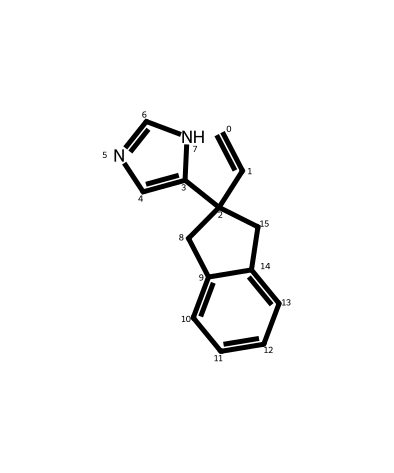 C=CC1(c2cnc[nH]2)Cc2ccccc2C1